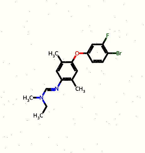 CCN(C)C=Nc1cc(C)c(Oc2ccc(Br)c(F)c2)cc1C